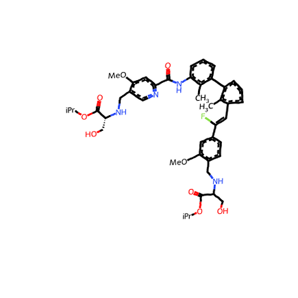 COc1cc(/C(F)=C/c2cccc(-c3cccc(NC(=O)c4cc(OC)c(CN[C@H](CO)C(=O)OC(C)C)cn4)c3C)c2C)ccc1CNC(CO)C(=O)OC(C)C